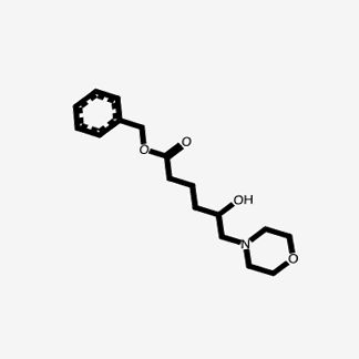 O=C(CCCC(O)CN1CCOCC1)OCc1ccccc1